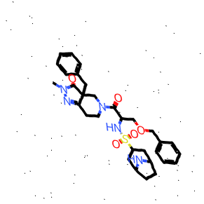 CN1N=C2CCN(C(=O)C(COCc3ccccc3)NS(=O)(=O)C3CC4CCC(C3)N4)CC2(Cc2ccccc2)C1=O